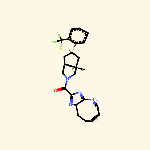 O=C(C1=NC2CC/C=C\C=N/C2=N1)N1CC2C[C@H](c3ccccc3C(F)(F)F)C[C@@H]2C1